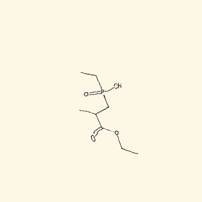 CCOC(=O)C(C)CP(=O)(O)CC